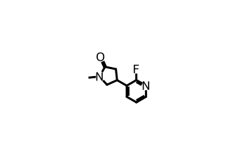 CN1CC(c2cccnc2F)CC1=O